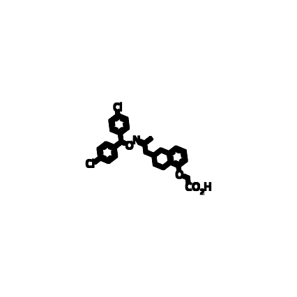 C/C(CC1CCc2c(cccc2OCC(=O)O)C1)=N/OC(c1ccc(Cl)cc1)c1ccc(Cl)cc1